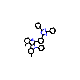 CC1C=Cc2c(n(-c3ccccc3)c3c(-c4cccc(-c5nc(C6=CC=CCC6)nc(-c6ccccc6)n5)c4)nc4c(c23)C(C)CC=C4)C1